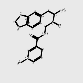 CCN(CNC(=O)C1=CN(C(C)C)C=CC1)C(C)Cc1ccc2c(c1)OCO2